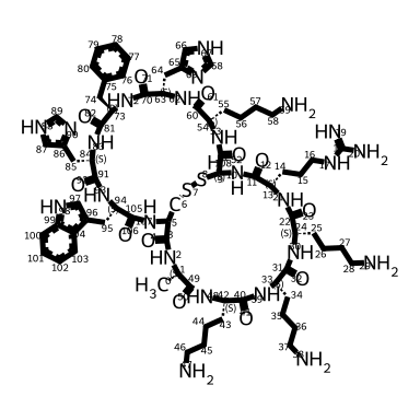 C[C@@H]1NC(=O)C2CSS[C@H](NC(=O)[C@H](CCCNC(=N)N)NC(=O)[C@H](CCCCN)NC(=O)[C@H](CCCCN)NC(=O)[C@H](CCCCN)NC1=O)C(=O)N[C@@H](CCCCN)C(=O)N[C@@H](Cc1c[nH]cn1)C(=O)N[C@H](Cc1ccccc1)C(=O)N[C@@H](Cc1c[nH]cn1)C(=O)N[C@@H](Cc1c[nH]c3ccccc13)C(=O)N2